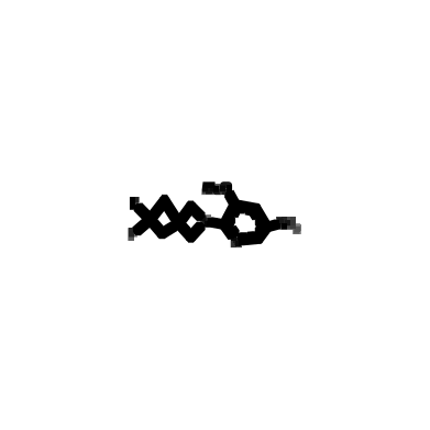 COc1cc(N)cnc1N1CC2(C1)CC(F)(F)C2